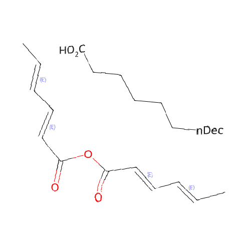 C/C=C/C=C/C(=O)OC(=O)/C=C/C=C/C.CCCCCCCCCCCCCCCC(=O)O